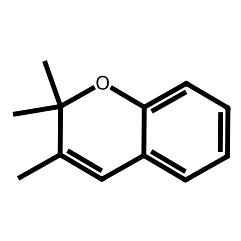 CC1=Cc2ccccc2OC1(C)C